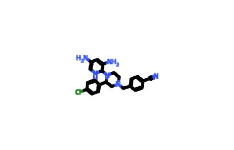 N#Cc1ccc(CN2CCN(C3NC=C(N)C=C3N)C(c3ccc(Cl)cc3)C2)cc1